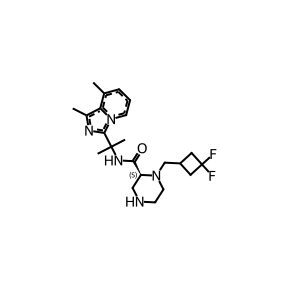 Cc1cccn2c(C(C)(C)NC(=O)[C@@H]3CNCCN3CC3CC(F)(F)C3)nc(C)c12